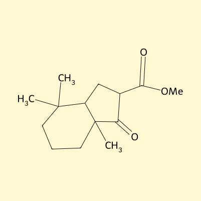 COC(=O)C1CC2C(C)(C)CCCC2(C)C1=O